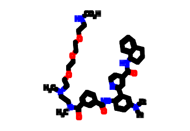 CCN(CC)c1ccc(NC(=O)c2cccc(C(=O)N(C)CCN(C)CCOCCOCCOCCNC(=O)O)c2)c(-c2cc(C(=O)NC3CCCc4ccccc43)ccn2)c1